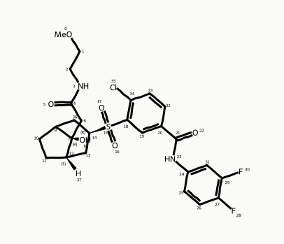 COCCNC(=O)C[C@@]1(O)C2CC[C@H]1C[C@H](S(=O)(=O)c1cc(C(=O)Nc3ccc(F)c(F)c3)ccc1Cl)C2